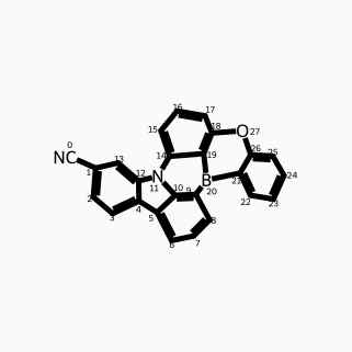 N#Cc1ccc2c3cccc4c3n(c2c1)-c1cccc2c1B4c1ccccc1O2